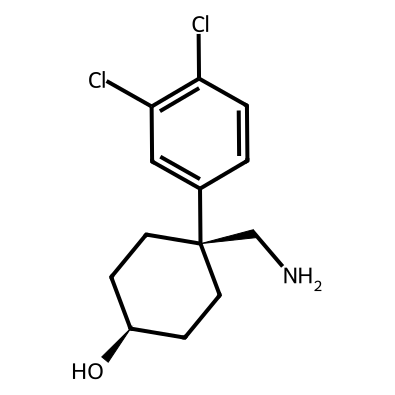 NC[C@]1(c2ccc(Cl)c(Cl)c2)CC[C@H](O)CC1